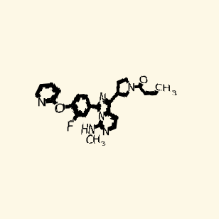 C/C=C\C(=O)N1CCC(c2nc(-c3ccc(Oc4ccccn4)c(F)c3)n3c(NC)nccc23)C1